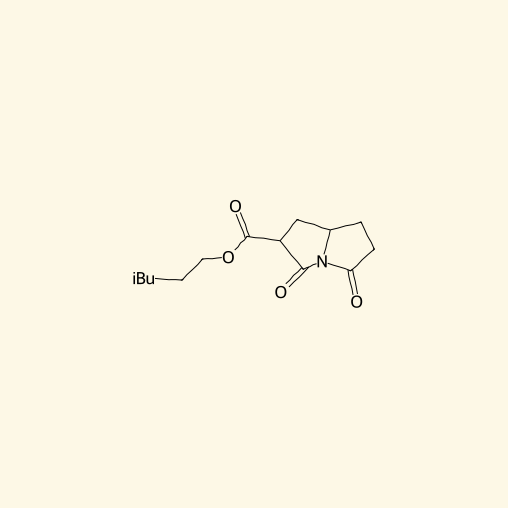 CCC(C)CCOC(=O)C1CC2CCC(=O)N2C1=O